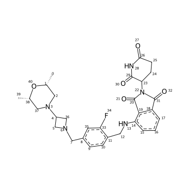 C[C@@H]1CN(C2CN(Cc3ccc(CNc4cccc5c4C(=O)N(C4CCC(=O)NC4=O)C5=O)c(F)c3)C2)C[C@H](C)O1